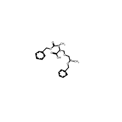 C[C@H](COC[C@@H](C(=O)O)N(C)C(=O)OCc1ccccc1)OCc1ccccc1